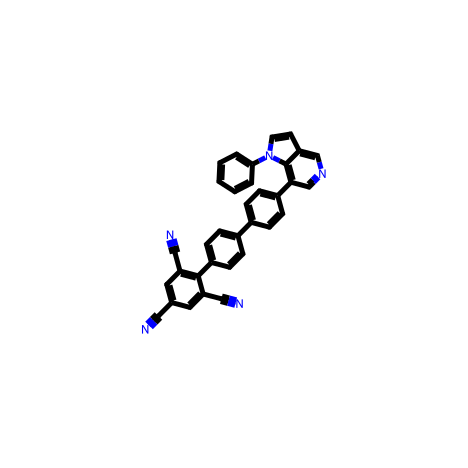 N#Cc1cc(C#N)c(-c2ccc(-c3ccc(-c4cncc5ccn(-c6ccccc6)c45)cc3)cc2)c(C#N)c1